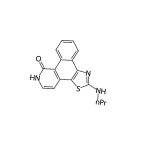 CCCNc1nc2c3ccccc3c3c(=O)[nH]ccc3c2s1